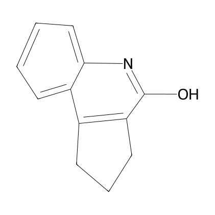 Oc1nc2ccccc2c2c1CCC2